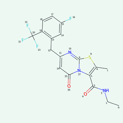 CCNC(=O)c1c(C)sc2nc(Cc3cc(F)ccc3C(F)(F)F)cc(=O)n12